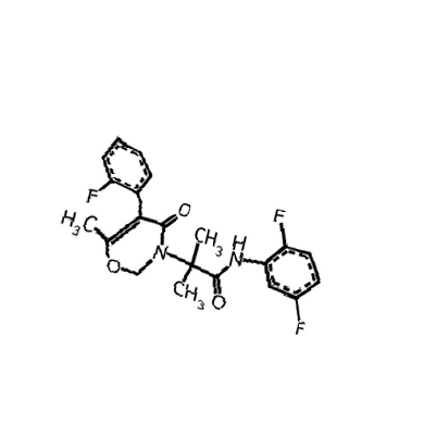 CC1=C(c2ccccc2F)C(=O)N(C(C)(C)C(=O)Nc2cc(F)ccc2F)CO1